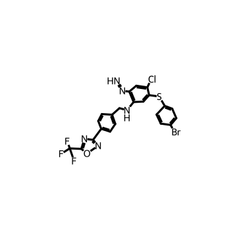 N=Nc1cc(Cl)c(Sc2ccc(Br)cc2)cc1NCc1ccc(-c2noc(C(F)(F)F)n2)cc1